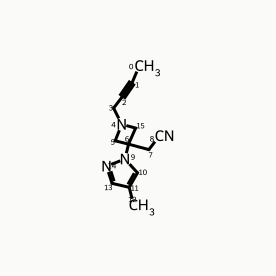 CC#CCN1CC(CC#N)(n2cc(C)cn2)C1